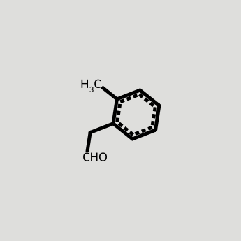 Cc1ccccc1CC=O